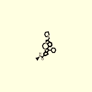 O=C(NC1CC1)c1ccc2c(C3CCCCC3)c3n(c2c1)CCCn1cc(CN2CCCCC2)c2cccc-3c21